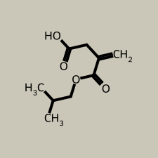 C=C(CC(=O)O)C(=O)OCC(C)C